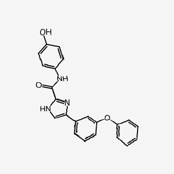 O=C(Nc1ccc(O)cc1)c1nc(-c2cccc(Oc3ccccc3)c2)c[nH]1